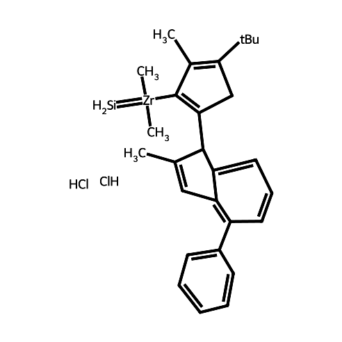 CC1=Cc2c(-c3ccccc3)cccc2C1C1=[C]([Zr]([CH3])([CH3])=[SiH2])C(C)=C(C(C)(C)C)C1.Cl.Cl